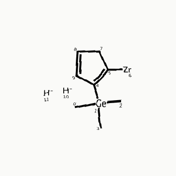 [CH3][Ge]([CH3])([CH3])[C]1=[C]([Zr])CC=C1.[H-].[H-]